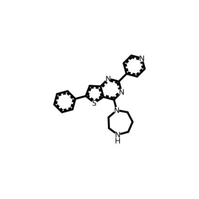 c1ccc(-c2cc3nc(-c4ccncc4)nc(N4CCCNCC4)c3s2)cc1